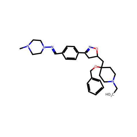 CN1CCN(N=Cc2ccc(C3=NOC(CC4(OCc5ccccc5)CCN(CC(=O)O)CC4)C3)cc2)CC1